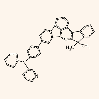 CC1(C)c2ccccc2-c2c1cc1c3c(cccc23)-c2ccc(-c3ccc(N(c4ccccc4)c4cccnc4)cc3)cc2-1